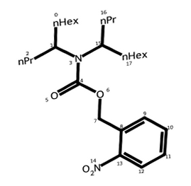 CCCCCCC(CCC)N(C(=O)OCc1ccccc1[N+](=O)[O-])C(CCC)CCCCCC